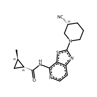 C[C@@H]1C[C@H]1C(=O)Nc1nccc2nc(N3CCC[C@@H](C#N)C3)sc12